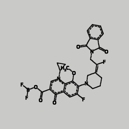 COc1c(N2CCC/C(=C(\F)CN3C(=O)c4ccccc4C3=O)C2)c(F)cc2c(=O)c(C(=O)OB(F)F)cn(C3CC3)c12